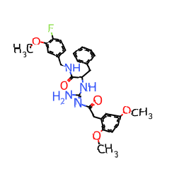 COc1ccc(OC)c(CC(=O)N=C(N)NC(Cc2ccccc2)C(=O)NCc2ccc(F)c(OC)c2)c1